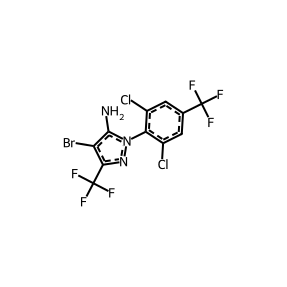 Nc1c(Br)c(C(F)(F)F)nn1-c1c(Cl)cc(C(F)(F)F)cc1Cl